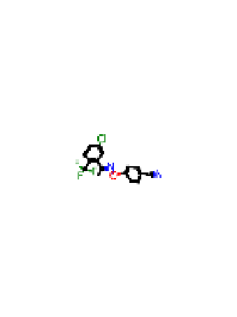 C/C(=N\Oc1ccc(C#N)cc1)c1cc(Cl)ccc1C(F)(F)F